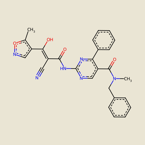 Cc1oncc1/C(O)=C(\C#N)C(=O)Nc1ncc(C(=O)N(C)Cc2ccccc2)c(-c2ccccc2)n1